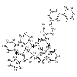 c1ccc(-c2cccc(-c3ccc(-c4nc(-c5ccccc5)nc(-n5c6ccccc6c6c5c(-c5ccccc5)cc5c7ccccc7n(-c7ccccc7)c56)n4)cc3)c2)cc1